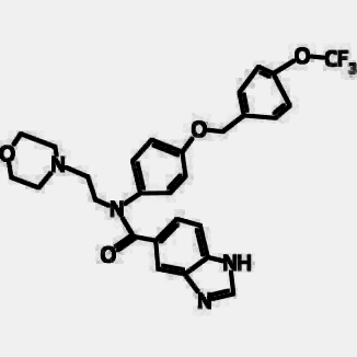 O=C(c1ccc2[nH]cnc2c1)N(CCN1CCOCC1)c1ccc(OCc2ccc(OC(F)(F)F)cc2)cc1